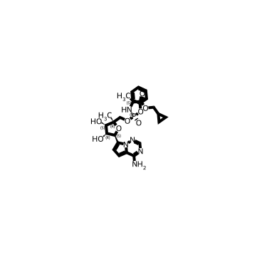 C[C@H](N[P@@](=O)(OC[C@@]1(C)O[C@@H](c2ccc3c(N)ncnn23)[C@H](O)[C@@H]1O)Oc1ccccc1)C(=O)OCC1CC1